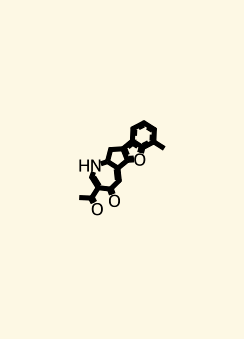 CC(=O)C1=CNC2Cc3c(oc4c(C)cccc34)C2=CC1=O